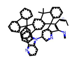 C=NC1=C(/C=C\C)C2(c3ccccc3C(C)(C)c3cc4c(cc32)-c2ccccc2C42c3ccccc3-c3ccccc32)c2cc(-n3c4ccccc4c4ncccc43)cnc21